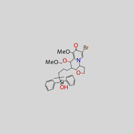 COCOC1c2c(OC)c(=O)c(Br)cn2C2CCOC2C1CCCC(C)(C)[Si](O)(c1ccccc1)c1ccccc1